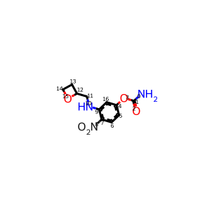 NC(=O)Oc1ccc([N+](=O)[O-])c(NCC2CCO2)c1